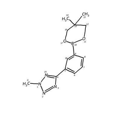 Cn1nnc(-c2cccc(B3OCC(C)(C)CO3)c2)n1